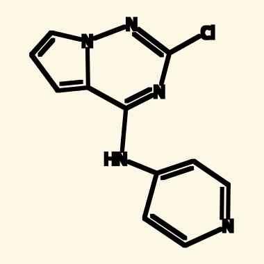 Clc1nc(Nc2ccncc2)c2cccn2n1